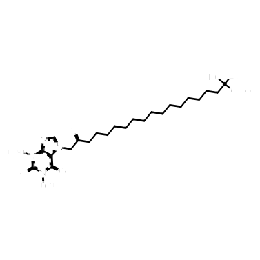 CCCCn1c(=O)c2c(ncn2CC(=O)CCCCCCCCCCCCCCCC(C=O)(CC)CC)n(CCCC)c1=O